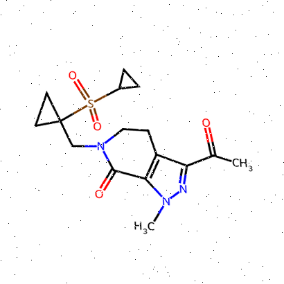 CC(=O)c1nn(C)c2c1CCN(CC1(S(=O)(=O)C3CC3)CC1)C2=O